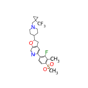 Cc1c(S(C)(=O)=O)ccc(-c2cc3c(cn2)OC(C2CCN(CC4(C(F)(F)F)CC4)CC2)C3)c1F